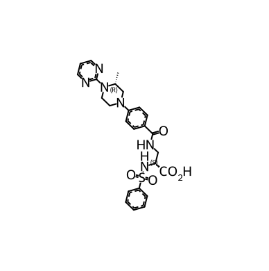 C[C@@H]1CN(c2ccc(C(=O)NC[C@H](NS(=O)(=O)c3ccccc3)C(=O)O)cc2)CCN1c1ncccn1